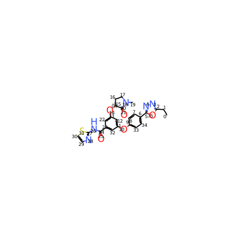 CCc1nnc(-c2ccc(Oc3cc(O[C@H]4CCN(C)C4=O)cc(C(=O)Nc4nccs4)c3)cc2)o1